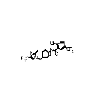 Cc1nc(C(F)(F)F)cn1CC1CCC(NC(=O)c2cc(C(F)(F)F)ccc2Cl)CC1